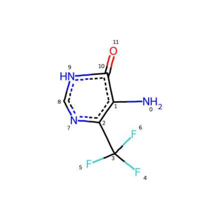 Nc1c(C(F)(F)F)nc[nH]c1=O